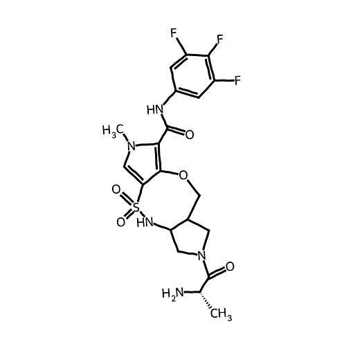 C[C@H](N)C(=O)N1CC2COc3c(cn(C)c3C(=O)Nc3cc(F)c(F)c(F)c3)S(=O)(=O)NC2C1